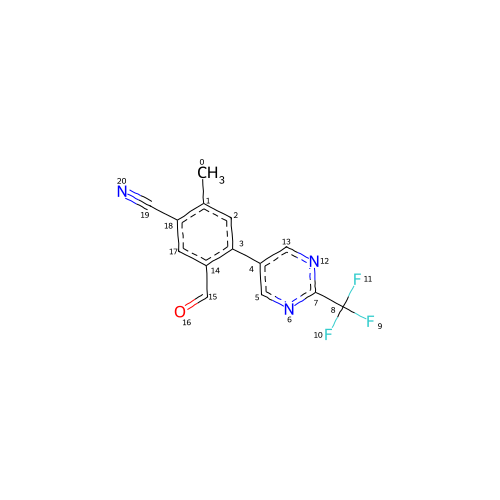 Cc1cc(-c2cnc(C(F)(F)F)nc2)c(C=O)cc1C#N